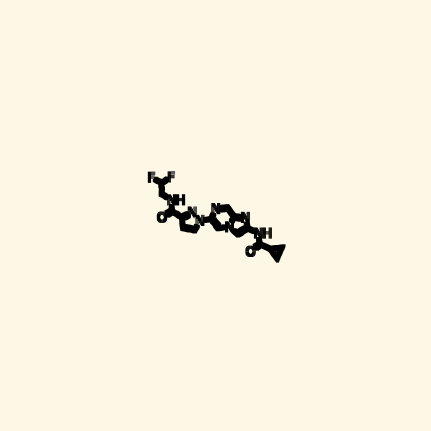 O=C(NCC(F)F)c1ccn(-c2cn3cc(NC(=O)C4CC4)nc3cn2)n1